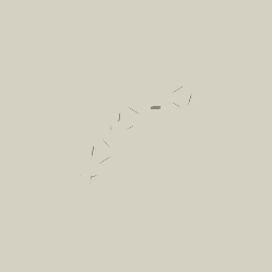 O=[C]c1ccc(Oc2ccc(C#Cc3ccccc3)cc2)cc1